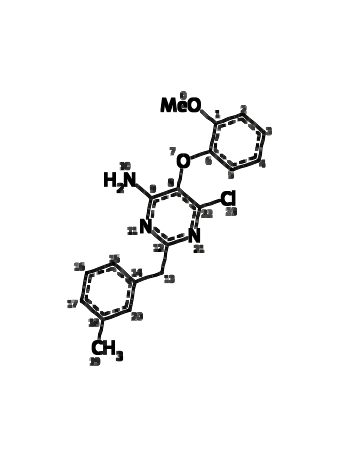 COc1ccccc1Oc1c(N)nc(Cc2cccc(C)c2)nc1Cl